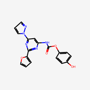 O=C(Nc1cc(-n2cccn2)nc(-c2ccco2)n1)Oc1ccc(O)cc1